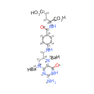 Nc1nc2c(c(=O)[nH]1)[N]([BaH])C(CNc1ccc(C(=O)N[C@@H](CCC(=O)O)C(=O)O)cc1)C[N]2[BaH]